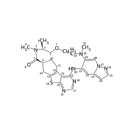 COC[C@H](C)N(C)C(=O)[C@H]1CCc2c(sc3ncnc(Nc4cc5ccnn5cc4N(C)C)c23)C1